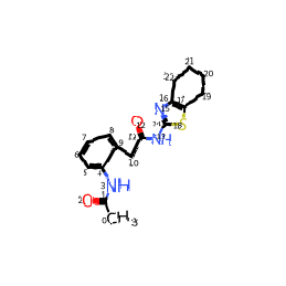 CC(=O)Nc1ccccc1CC(=O)Nc1nc2c(s1)CCCC2